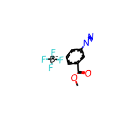 COC(=O)c1cccc([N+]#N)c1.F[B-](F)(F)F